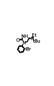 Br.CCN(CCN(C(N)=O)c1ccccc1)C(C)(C)C